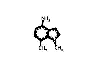 Cc1ccc(N)c2ccn(C)c12